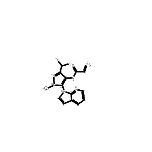 C=CC(=O)Oc1c(C(F)F)nn(C)c1-n1ccc2cccnc21